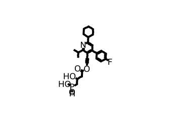 CC(C)c1nc(C2CCCCC2)cc(-c2ccc(F)cc2)c1C#COC(=O)CC(O)C[PH](=O)O